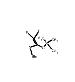 CC(C)(C)SC(O[Si](C)(C)C)=C(F)F